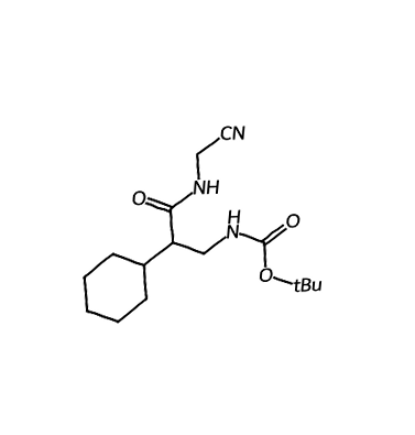 CC(C)(C)OC(=O)NCC(C(=O)NCC#N)C1CCCCC1